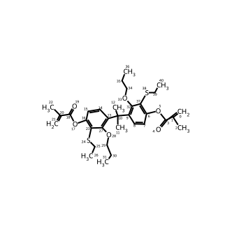 C=C(C)C(=O)Oc1ccc(C(C)(C)c2ccc(OC(=O)C(=C)C)c(SCC)c2OCCC)c(OCCC)c1SCC